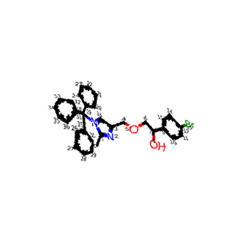 Cc1nc(COCC(O)c2ccc(Br)cc2)cn1C(c1ccccc1)(c1ccccc1)c1ccccc1